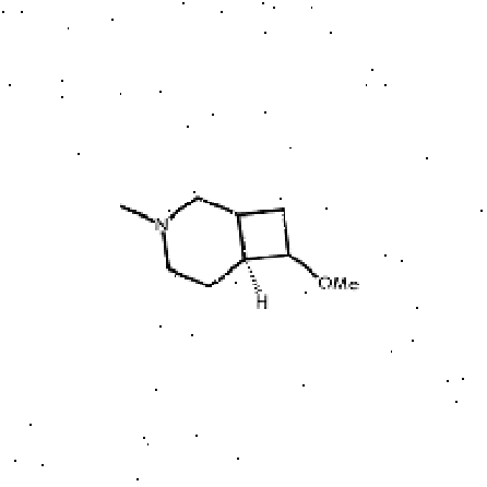 COC1CC2CN(C)CC[C@@H]21